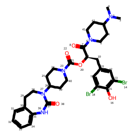 CN(C)C1CCN(C(=O)[C@@H](Cc2cc(Br)c(O)c(Br)c2)OC(=O)N2CCC(N3CCc4ccccc4NC3=O)CC2)CC1